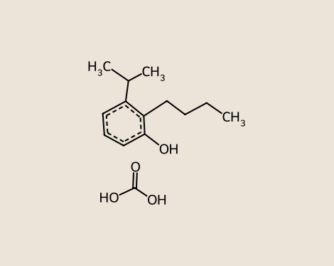 CCCCc1c(O)cccc1C(C)C.O=C(O)O